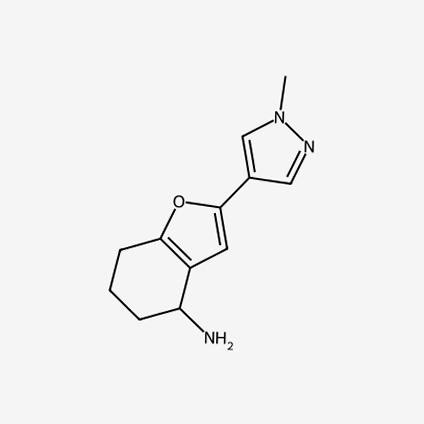 Cn1cc(-c2cc3c(o2)CCCC3N)cn1